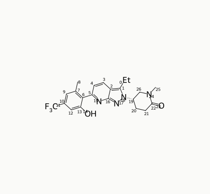 CCc1c2ccc(-c3c(C)cc(C(F)(F)F)cc3O)nc2nn1[C@H]1CCC(=O)N(C)C1